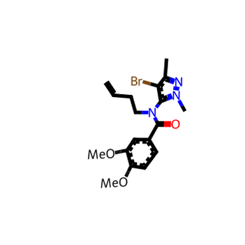 C=CCCN(C(=O)c1ccc(OC)c(OC)c1)c1c(Br)c(C)nn1C